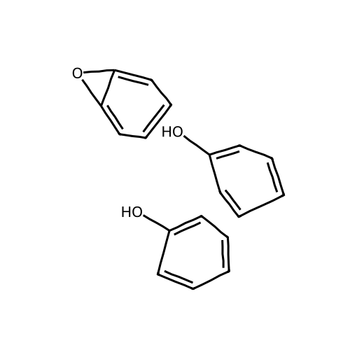 Oc1ccccc1.Oc1ccccc1.c1ccc2c(c1)O2